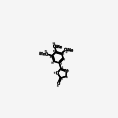 COc1cc(C2=NCC(=O)O2)cc(OC)c1OC